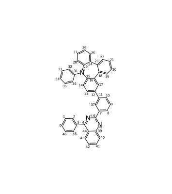 c1ccc(-c2nc(-c3cccc(-c4ccc5c(c4)-c4ccccc4-c4ccccc4N5c4ccccc4)c3)nc3ccccc23)cc1